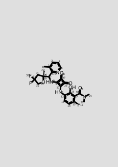 Cc1cccnc1C(Nc1c(Nc2ccc(F)c(C(=O)N(C)C)c2O)c(=O)c1=O)[C@@]1(C)CC(F)(F)CO1